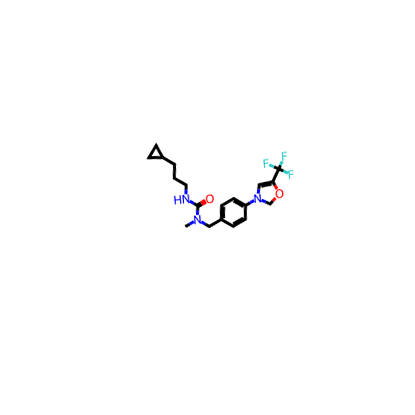 CN(Cc1ccc(N2C=C(C(F)(F)F)OC2)cc1)C(=O)NCCCC1CC1